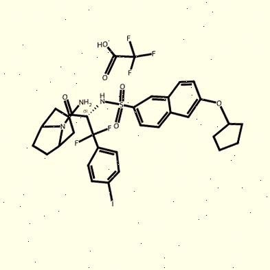 NC1CC2CCC(C1)N2C(=O)[C@H](NS(=O)(=O)c1ccc2cc(OC3CCCC3)ccc2c1)C(F)(F)c1ccc(I)cc1.O=C(O)C(F)(F)F